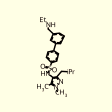 CCNCc1cccc(-c2ccc(S(=O)(=O)Nc3c(CC(C)C)nn(C)c3C)cc2)c1